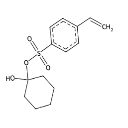 C=Cc1ccc(S(=O)(=O)OC2(O)CCCCC2)cc1